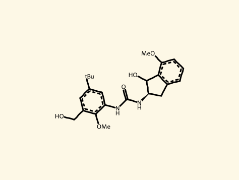 COc1cccc2c1C(O)[C@H](NC(=O)Nc1cc(C(C)(C)C)cc(CO)c1OC)C2